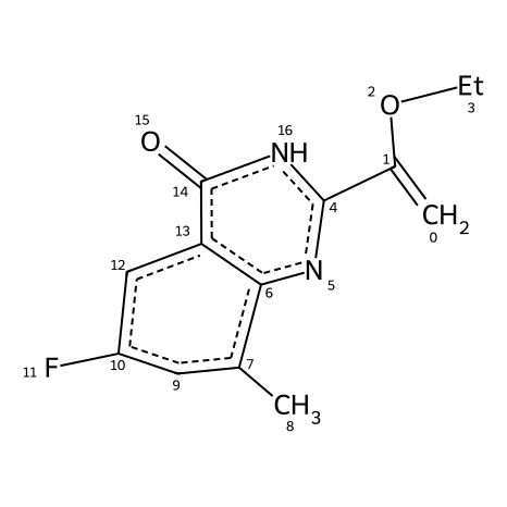 C=C(OCC)c1nc2c(C)cc(F)cc2c(=O)[nH]1